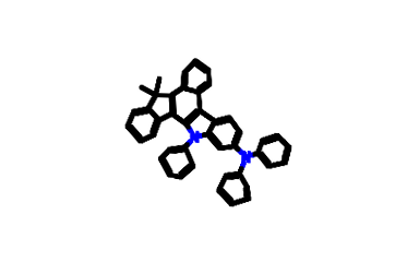 CC1(C)c2ccccc2-c2c1c1ccccc1c1c3ccc(N(c4ccccc4)c4ccccc4)cc3n(-c3ccccc3)c21